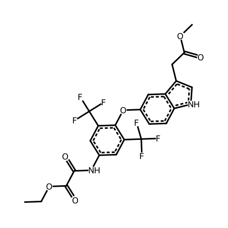 CCOC(=O)C(=O)Nc1cc(C(F)(F)F)c(Oc2ccc3[nH]cc(CC(=O)OC)c3c2)c(C(F)(F)F)c1